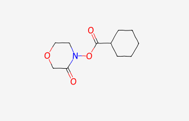 O=C(ON1CCOCC1=O)C1CCCCC1